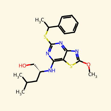 COc1nc2nc(SC(C)c3ccccc3)nc(N[C@@H](CO)CC(C)C)c2s1